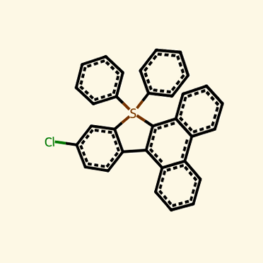 Clc1ccc2c(c1)S(c1ccccc1)(c1ccccc1)c1c-2c2ccccc2c2ccccc12